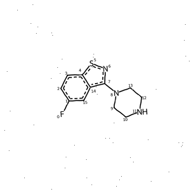 Fc1ccc2snc(N3CCNCC3)c2c1